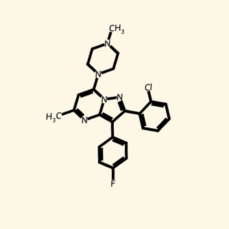 Cc1cc(N2CCN(C)CC2)n2nc(-c3ccccc3Cl)c(-c3ccc(F)cc3)c2n1